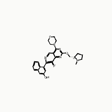 CN1CCC[C@H]1COc1nc(N2CCOCC2)c2cnc(-c3cc(O)cc4ccccc34)c(F)c2n1